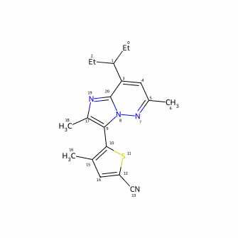 CCC(CC)c1cc(C)nn2c(-c3sc(C#N)cc3C)c(C)nc12